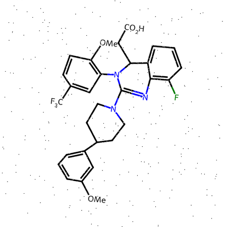 COc1cccc(C2CCN(C3=Nc4c(F)cccc4C(CC(=O)O)N3c3cc(C(F)(F)F)ccc3OC)CC2)c1